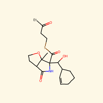 CCC(=O)CCSC(=O)C1(C(O)C2C=CCCC2)NC(=O)C2CCOC21C